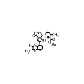 Cc1nc2cccc(-c3cc4c([nH]3)[C@@H](C/C=C\[C@@H](C)NC(=O)OC(C)(C)C)CNC4=O)c2nc1F